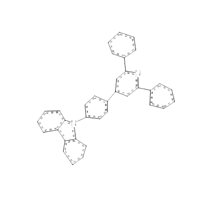 c1ccc(-c2cc(-c3ccc(-n4c5ccccc5c5ccccc54)cc3)cc(-c3ccccc3)n2)cc1